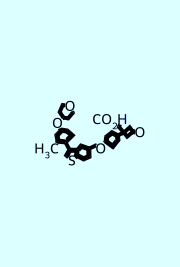 Cc1cc(OC2CCOCC2)ccc1-c1csc2ccc(COc3ccc(C4(CC(=O)O)CC(=O)C4)cc3)cc12